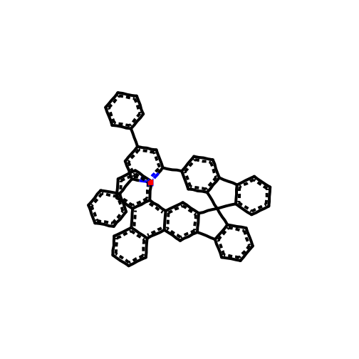 c1ccc(-c2cc(-c3ccccc3)nc(-c3ccc4c(c3)C3(c5ccccc5-4)c4ccccc4-c4cc5c6ccccc6c6ccccc6c5cc43)c2)cc1